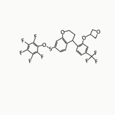 Fc1c(F)c(F)c(OSc2ccc3c(c2)OCCC3c2ccc(C(F)(F)F)cc2OC2COC2)c(F)c1F